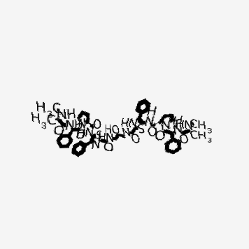 CN[C@@H](C)C(=O)N[C@H](C(=O)N1CCC[C@H]1C(=O)Nc1sc(C(=O)NCC(O)CNC(=O)c2nc(-c3ccccc3)c(NC(=O)[C@@H]3CCCN3C(=O)[C@@H](NC(=O)[C@H](C)NC)C3CCCCC3)s2)nc1-c1ccccc1)C1CCCCC1